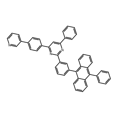 c1ccc(-c2cc(-c3ccc(-c4cccnc4)cc3)nc(-c3cccc(-c4c5ccccc5c(-c5ccccc5)c5ccccc45)c3)n2)cc1